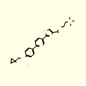 C[Si](C)(C)CCOC(c1c[nH]c(-c2ccc(-c3ccc(OCC4(C(=O)O)CC4)cc3)nc2)n1)C(F)(F)F